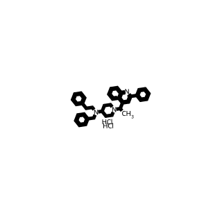 CC(c1cc(-c2ccccc2)nc2ccccc12)N1CCC(N(CCc2ccccc2)Cc2ccccc2)CC1.Cl.Cl